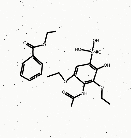 CCOC(=O)c1ccccc1.CCOc1cc([As](=O)(O)O)c(O)c(OCC)c1NC(C)=O